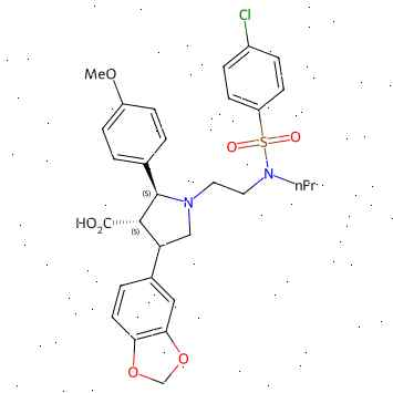 CCCN(CCN1CC(c2ccc3c(c2)OCO3)[C@H](C(=O)O)[C@H]1c1ccc(OC)cc1)S(=O)(=O)c1ccc(Cl)cc1